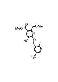 COCc1nc(OCc2cc(C(F)(F)F)ccc2F)c(C#N)cc1C(=O)OC